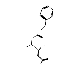 CC(C)C(NC(=O)OCc1ccccc1)C(O)CC(=O)C(=O)O